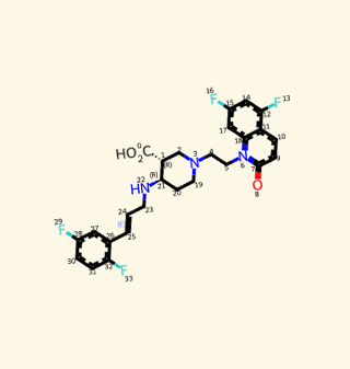 O=C(O)[C@@H]1CN(CCn2c(=O)ccc3c(F)cc(F)cc32)CC[C@H]1NC/C=C/c1cc(F)ccc1F